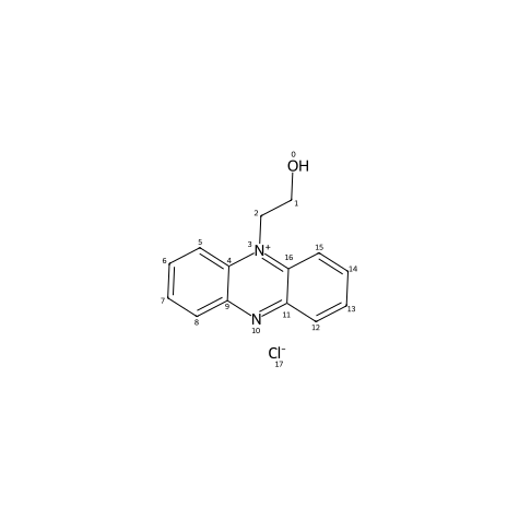 OCC[n+]1c2ccccc2nc2ccccc21.[Cl-]